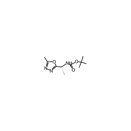 Cc1nnc([C@@H](C)NC(=O)OC(C)(C)C)o1